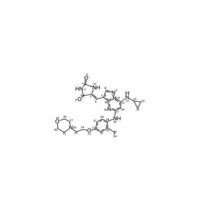 O=C1NC(=O)/C(=C/c2cnn3c(NC4CC4)cc(Nc4ccc(OCCN5CCOCC5)cc4F)nc23)N1